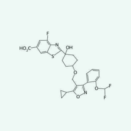 O=C(O)c1cc(F)c2nc(C3(O)CCC(OCc4c(-c5ccccc5OC(F)F)noc4C4CC4)CC3)sc2c1